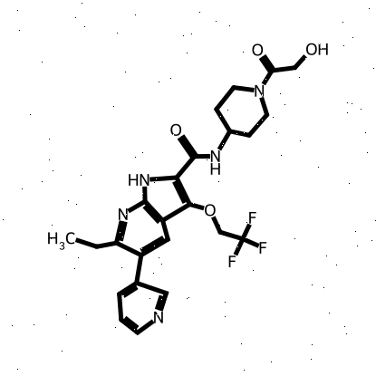 CCc1nc2[nH]c(C(=O)NC3CCN(C(=O)CO)CC3)c(OCC(F)(F)F)c2cc1-c1cccnc1